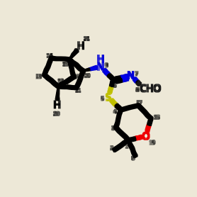 CC1(C)CC(S/C(=N\C=O)N[C@H]2C[C@@H]3CC[C@H]2C3)CCO1